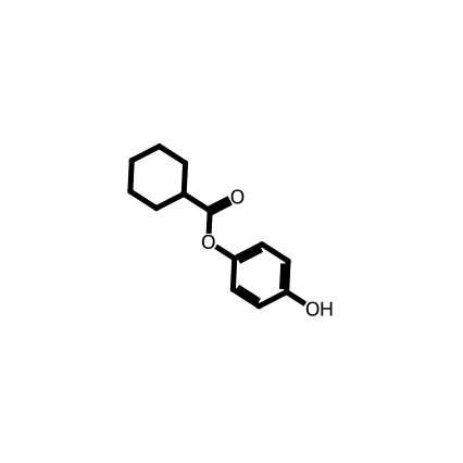 O=C(Oc1ccc(O)cc1)C1CCCCC1